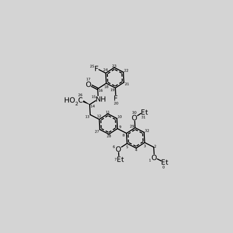 CCOCc1cc(OCC)c(-c2ccc(C[C@H](NC(=O)c3c(F)cccc3F)C(=O)O)cc2)c(OCC)c1